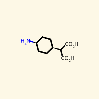 N[C@H]1CC[C@@H](C(C(=O)O)C(=O)O)CC1